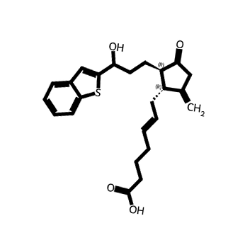 C=C1CC(=O)[C@H](CCC(O)c2cc3ccccc3s2)[C@H]1CC=CCCCC(=O)O